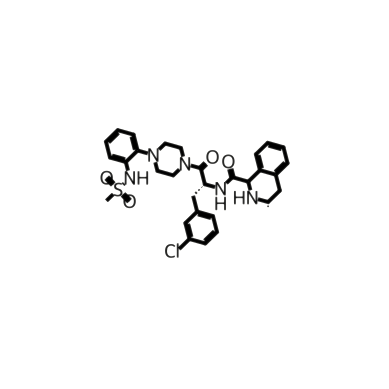 CS(=O)(=O)Nc1ccccc1N1CCN(C(=O)[C@@H](Cc2cccc(Cl)c2)NC(=O)C2N[CH]Cc3ccccc32)CC1